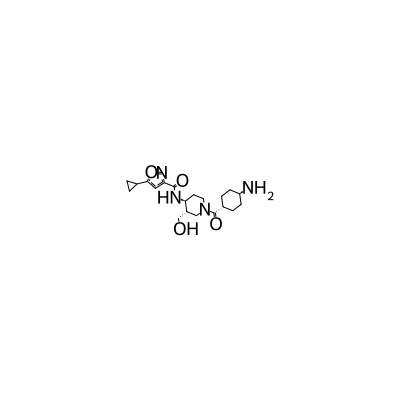 N[C@H]1CC[C@H](C(=O)N2CC[C@H](NC(=O)c3cc(C4CC4)on3)[C@@H](CO)C2)CC1